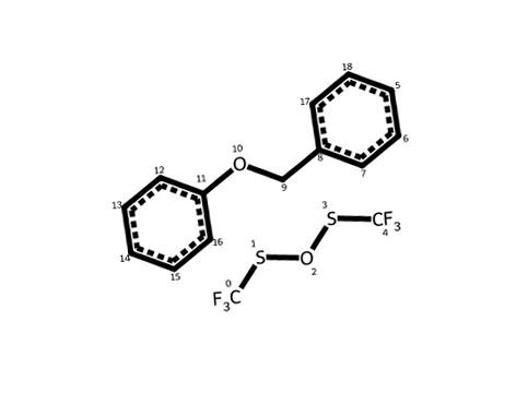 FC(F)(F)SOSC(F)(F)F.c1ccc(COc2ccccc2)cc1